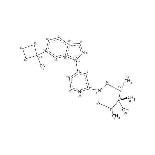 C[C@@H]1CN(c2cc(-n3ncc4ccc(C5(C#N)CCC5)cc43)ccn2)C[C@H](C)[C@]1(C)O